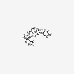 NC(=O)[C@@H]1[C@H](Nc2c(Cl)cnc3[nH]c(-c4ccc(F)cc4)nc23)[C@H]2C=C[C@@H]1C2